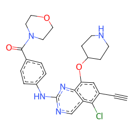 C#Cc1cc(OC2CCNCC2)c2nc(Nc3ccc(C(=O)N4CCOCC4)cc3)ncc2c1Cl